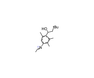 C/C=N/c1cc(C)c(C(O)CC(C)(C)C)c(C)c1C